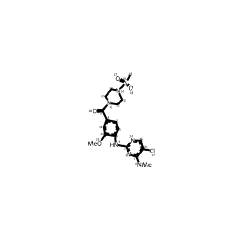 CNc1nc(Nc2ccc(C(=O)N3CCN(S(C)(=O)=O)CC3)cc2OC)ncc1Cl